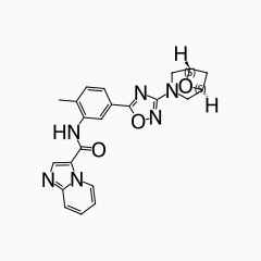 Cc1ccc(-c2nc(N3C[C@@H]4C[C@@H](C3)O4)no2)cc1NC(=O)c1cnc2ccccn12